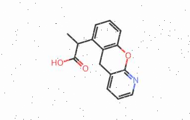 CC(C(=O)O)c1cccc2c1Cc1cccnc1O2